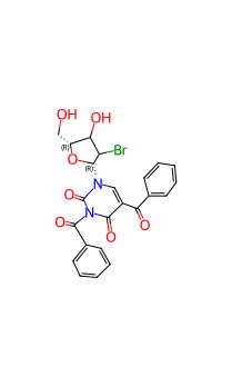 O=C(c1ccccc1)c1cn([C@@H]2O[C@H](CO)C(O)C2Br)c(=O)n(C(=O)c2ccccc2)c1=O